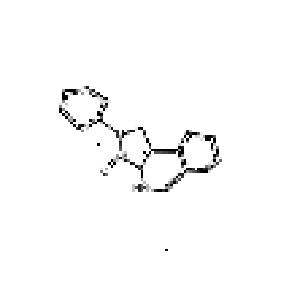 O=[N+]1C2NC=c3ccccc3=C2CN1c1ccccc1